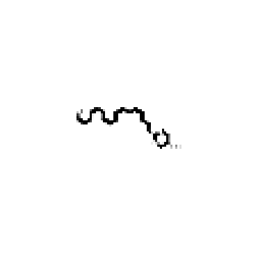 CC/C=C\C/C=C\C/C=C\C/C=C\C/C=C\CCC[C@H]1OC[C@@H](O)CO1